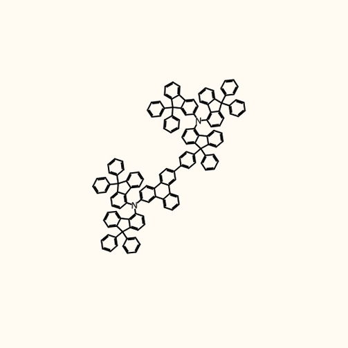 c1ccc(C2(c3ccccc3)c3ccccc3-c3ccc(N(c4cccc5c4-c4ccccc4C5(c4ccccc4)c4ccccc4)c4cccc5c4-c4ccccc4C5(c4ccccc4)c4ccc(-c5ccc6c7ccc(N(c8cccc9c8-c8ccccc8C9(c8ccccc8)c8ccccc8)c8cccc9c8-c8ccccc8C9(c8ccccc8)c8ccccc8)cc7c7ccccc7c6c5)cc4)cc32)cc1